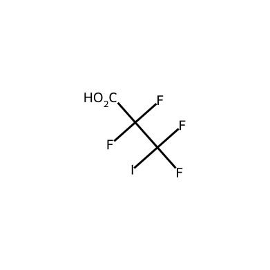 O=C(O)C(F)(F)C(F)(F)I